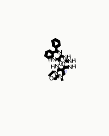 CN/C=C(/C(=N)OC(=N)NC1N=C(c2ccccc2)c2ccccc2NC1=O)C(=N)N1CCOCC1